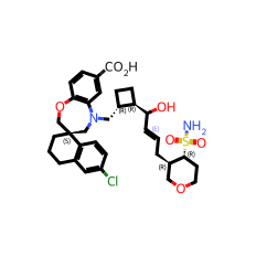 NS(=O)(=O)[C@@H]1CCOC[C@H]1C/C=C/C(O)[C@@H]1CC[C@H]1CN1C[C@@]2(CCCc3cc(Cl)ccc32)COc2ccc(C(=O)O)cc21